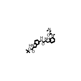 CN(C)CC(=O)N(C)c1cccc(CC(N)C(=O)Nc2ccc3[nH]c(C(=O)OC(C)(C)C)cc3c2)c1